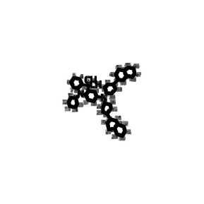 CC1(C)c2ccccc2N(c2ccccc2)c2ccc(N(c3ccc(-c4ccc5ccccc5c4)cc3)c3ccc(-c4ccc5ccccc5c4)cc3)cc21